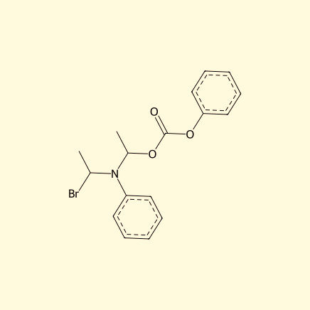 CC(Br)N(c1ccccc1)C(C)OC(=O)Oc1ccccc1